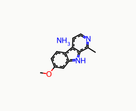 COc1ccc2c(c1)[nH]c1c(C)nccc12.N